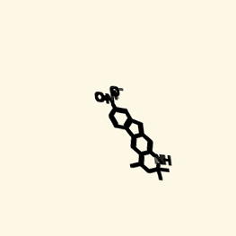 CC1=c2cc3c(cc2NC(C)(C)C1)=Cc1cc([N+](=O)[O-])ccc1-3